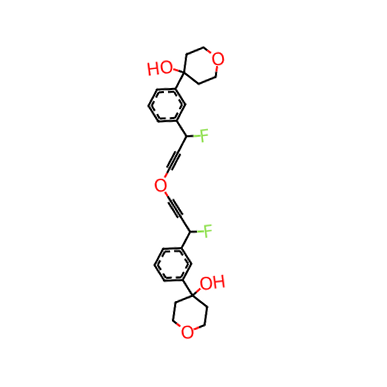 OC1(c2cccc(C(F)C#COC#CC(F)c3cccc(C4(O)CCOCC4)c3)c2)CCOCC1